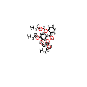 COCOc1ccccc1C(=O)c1ccc(OC)c(OC)c1OCOC